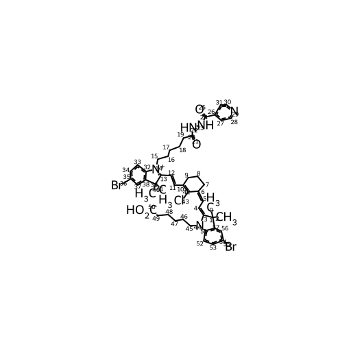 CC1(C)C(=CC=C2CCCC(C=CC3=[N+](CCCCCC(=O)NNC(=O)c4ccncc4)c4ccc(Br)cc4C3(C)C)=C2Cl)N(CCCCCC(=O)O)c2ccc(Br)cc21